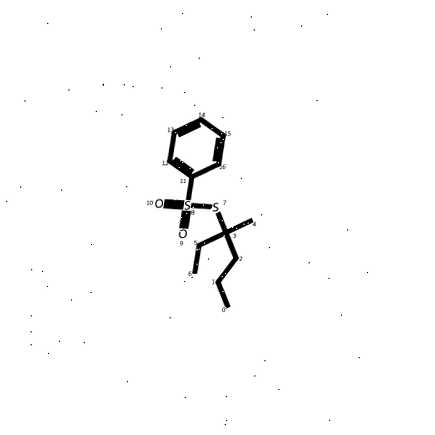 CCCC(C)(CC)SS(=O)(=O)c1ccccc1